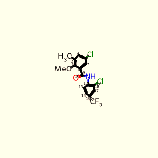 COc1c(C)cc(Cl)cc1C(=O)Nc1ccc(C(F)(F)F)cc1Cl